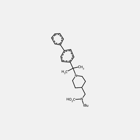 CC(C)(C)N(CC1CCN(C(C)(C)c2ccc(-c3ccccc3)cc2)CC1)C(=O)O